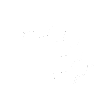 Cc1c(N2CCCC(CNC(=O)O)C2)c(F)cc2c(=O)n(N)c(=O)n(C3CC3)c12